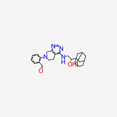 O=Cc1ccccc1N1CCc2c(ncnc2NCC(O)C23CC4CC(CC(C4)C2)C3)C1